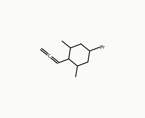 C=C=CC1C(C)CC(C(C)C)CC1C